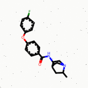 CC1CC2CCN1CC2NC(=O)c1ccc(Oc2ccc(F)cc2)cc1